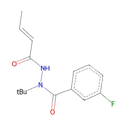 C/C=C/C(=O)NN(C(=O)c1cccc(F)c1)C(C)(C)C